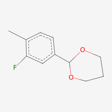 Cc1ccc(C2OCCCO2)cc1F